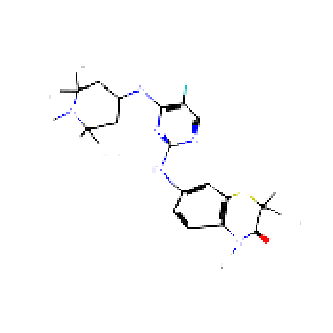 CN1C(=O)C(C)(C)Sc2cc(Nc3ncc(F)c(NC4CC(C)(C)N(C)C(C)(C)C4)n3)ccc21